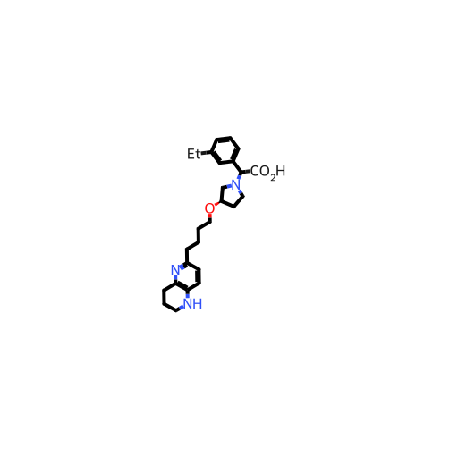 CCc1cccc(C(C(=O)O)N2CC[C@@H](OCCCCc3ccc4c(n3)CCCN4)C2)c1